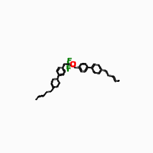 CC=CCCC1CCC(c2ccc(COC(F)(F)Cc3ccc(C4CCC(CCC=CC)CC4)cc3)cc2)CC1